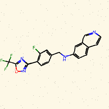 Fc1cc(CNc2ccc3ccncc3c2)ccc1-c1noc(C(F)(F)F)n1